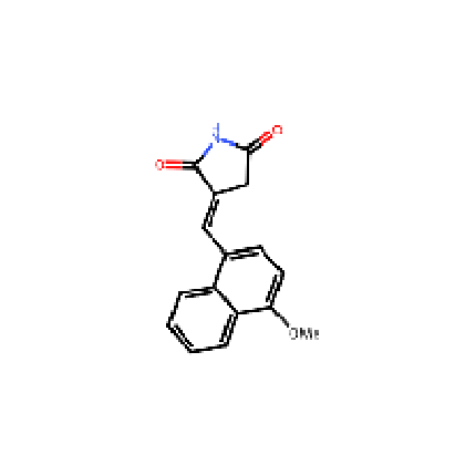 COc1ccc(/C=C2\CC(=O)NC2=O)c2ccccc12